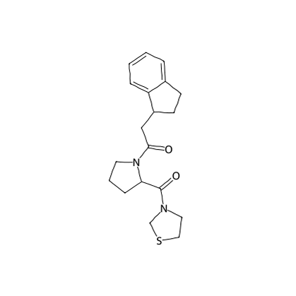 O=C(C1CCCN1C(=O)CC1CCc2ccccc21)N1CCSC1